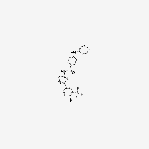 O=C(Nc1nc(-c2ccc(F)c(C(F)(F)F)c2)ns1)c1ccc(Nc2ccncc2)cc1